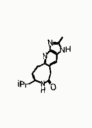 Cc1nc2nc3c(cc2[nH]1)CC(=O)NC(C(C)C)CC3